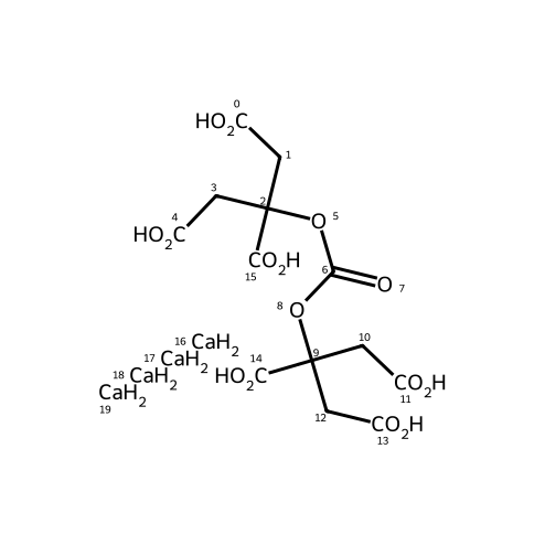 O=C(O)CC(CC(=O)O)(OC(=O)OC(CC(=O)O)(CC(=O)O)C(=O)O)C(=O)O.[CaH2].[CaH2].[CaH2].[CaH2]